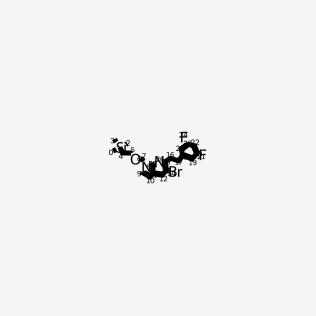 C[Si](C)(C)CCOCn1ccc2cc(Br)c(CCc3cc(F)cc(F)c3)nc21